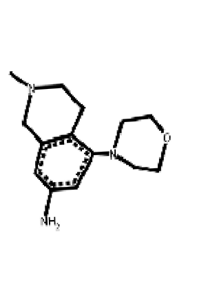 CN1CCc2c(cc(N)cc2N2CCOCC2)C1